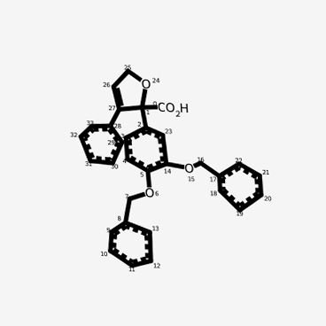 O=C(O)C1(c2ccc(OCc3ccccc3)c(OCc3ccccc3)c2)OCC=C1c1ccccc1